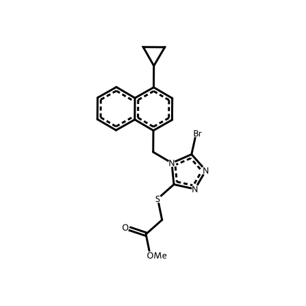 COC(=O)CSc1nnc(Br)n1Cc1ccc(C2CC2)c2ccccc12